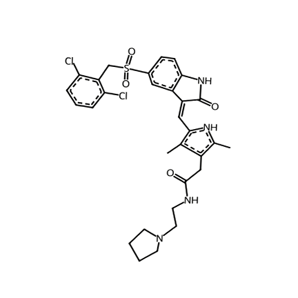 Cc1[nH]c(/C=C2\C(=O)Nc3ccc(S(=O)(=O)Cc4c(Cl)cccc4Cl)cc32)c(C)c1CC(=O)NCCN1CCCC1